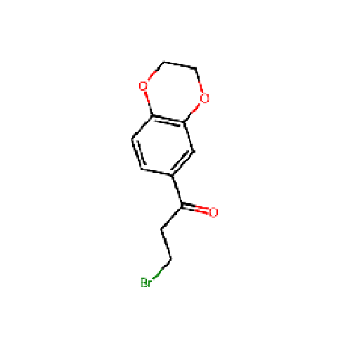 O=C(CCBr)c1ccc2c(c1)OCCO2